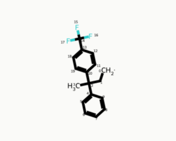 [CH2]CC(C)(c1ccccc1)c1ccc(C(F)(F)F)cc1